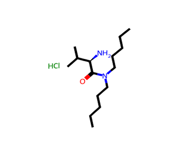 CCCCCN(CCCCC)C(=O)[C@H](N)C(C)C.Cl